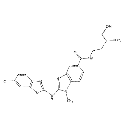 C[C@@H](CO)CCNC(=O)c1ccc2c(c1)nc(Nc1nc3ccc(Cl)cc3s1)n2C